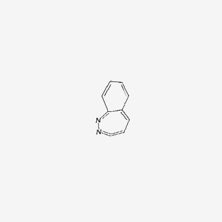 C1=CC=c2ccccc2=NN=1